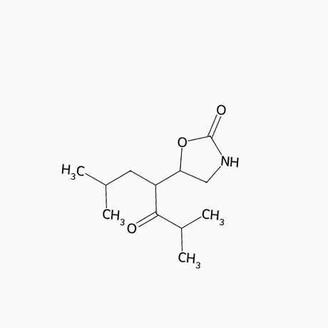 CC(C)CC(C(=O)C(C)C)C1CNC(=O)O1